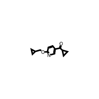 O=C(c1ccc(OCC2CC2)nc1)C1CC1